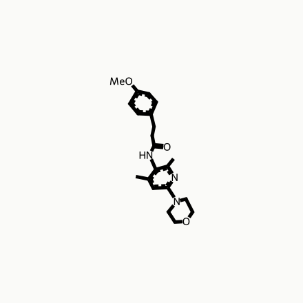 COc1ccc(CCC(=O)Nc2c(C)cc(N3CCOCC3)nc2C)cc1